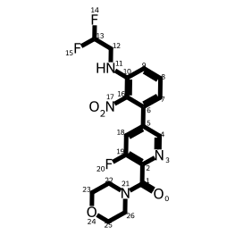 O=C(c1ncc(-c2cccc(NCC(F)F)c2[N+](=O)[O-])cc1F)N1CCOCC1